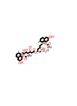 CC[C@H](C)C(=O)O[C@H]1C[C@H](O)C=C2C=C[C@H](C)[C@H](CC[C@@H](O)C[C@@H](O)CC(=O)O[C@@H](CC(=O)O)C[C@H](O)CC[C@@H]3[C@@H]4C(=C[C@@H](O)C[C@@H]4OC(=O)[C@@H](C)CC)C=C[C@@H]3C)[C@H]21